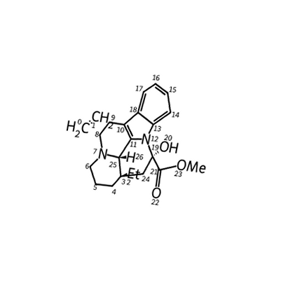 C=C.CC[C@]12CCCN3CCc4c(n(c5ccccc45)[C@@](O)(C(=O)OC)C1)[C@@H]32